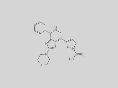 O=C(O)N1CC=C(C2=C3C=C(N4CCOCC4)N=C3C(c3ccccc3)NC2)C1